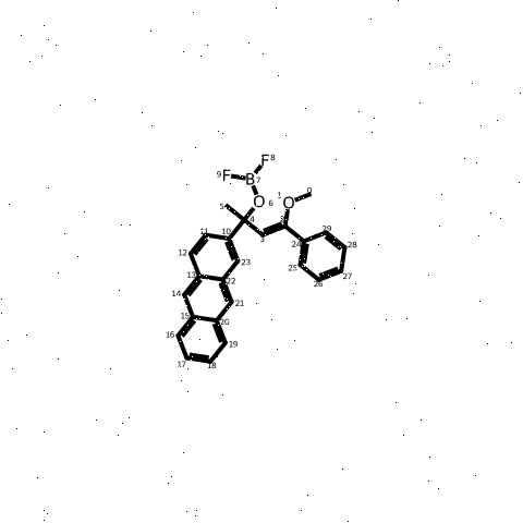 CO/C(=C\C(C)(OB(F)F)c1ccc2cc3ccccc3cc2c1)c1ccccc1